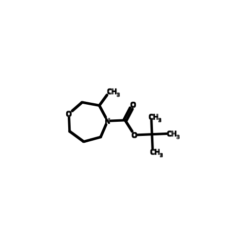 CC1COCCCN1C(=O)OC(C)(C)C